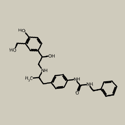 CC(Cc1ccc(NC(=O)NCc2ccccc2)cc1)NCC(O)c1ccc(O)c(CO)c1